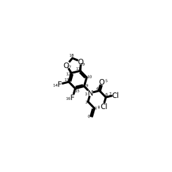 C=CCN(C(=O)C(Cl)Cl)c1cc2c(c(F)c1F)OCO2